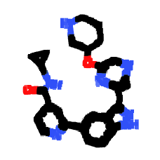 O=C(NC1CC1)c1ccnc(-c2ccc3[nH]nc(-c4cncc(OC5CCCNC5)n4)c3c2)c1